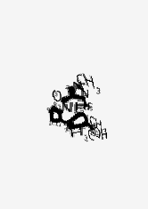 Cn1cc(C(=O)Nc2ccccc2-c2ccc(C(C)(C)O)cc2)c(C(F)F)n1